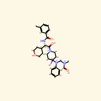 Cc1cccc(C(=O)N[C@H](C(=O)N2CCC(I)(N(CN(C)C=O)c3ccccc3)CC2)C2CCOCC2)c1